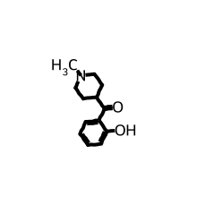 CN1CCC(C(=O)c2ccccc2O)CC1